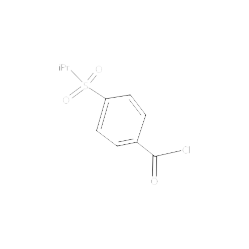 CC(C)S(=O)(=O)c1ccc(C(=O)Cl)cc1